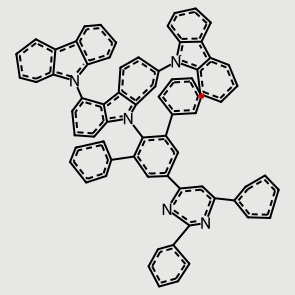 c1ccc(-c2cc(-c3cc(-c4ccccc4)c(-n4c5cc(-n6c7ccccc7c7ccccc76)ccc5c5c(-n6c7ccccc7c7ccccc76)cccc54)c(-c4ccccc4)c3)nc(-c3ccccc3)n2)cc1